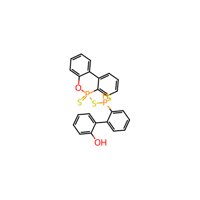 Oc1ccccc1-c1ccccc1[PH](=S)SP1(=S)Oc2ccccc2-c2ccccc21